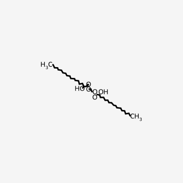 CCCCCCCCCCCCCCCCC(O)C(=O)OCCOC(=O)C(O)CCCCCCCCCCCCCCCC